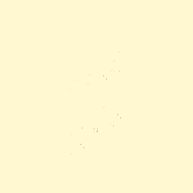 CCNC(=O)C(c1ccccc1)N(C)CCN(C)c1ccc(NC(=O)c2ccccc2-c2ccc(C(F)(F)F)cc2)cc1